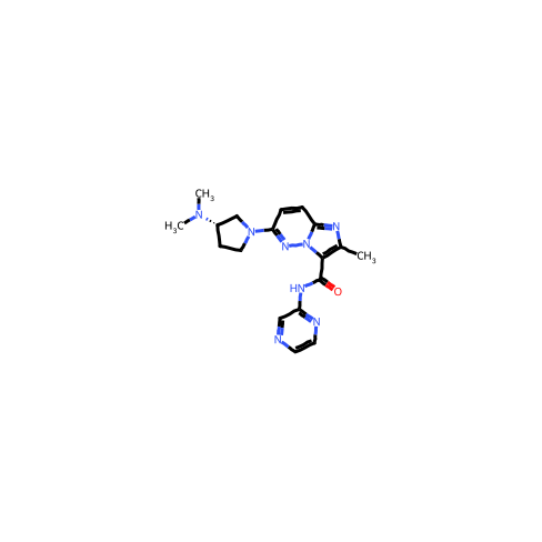 Cc1nc2ccc(N3CC[C@H](N(C)C)C3)nn2c1C(=O)Nc1cnccn1